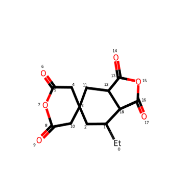 CCC1CC2(CC(=O)OC(=O)C2)CC2C(=O)OC(=O)C12